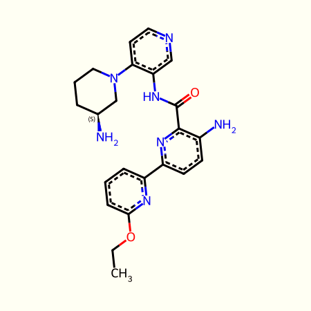 CCOc1cccc(-c2ccc(N)c(C(=O)Nc3cnccc3N3CCC[C@H](N)C3)n2)n1